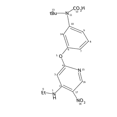 CCNc1cc(Oc2cccc(N(C(=O)O)C(C)(C)C)c2)ncc1[N+](=O)[O-]